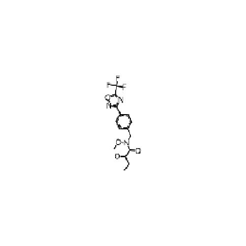 CCC(=O)C(=O)N(Cc1ccc(-c2noc(C(F)(F)F)n2)cc1)OC